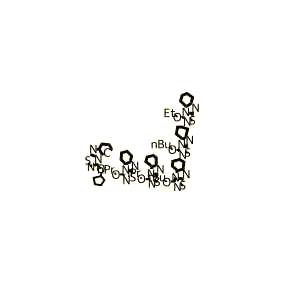 CC(C)(C)Oc1nsc2nc3ccccc3n12.CC(C)Oc1nsc2nc3ccccc3n12.CCCCOc1nsc2nc3ccccc3n12.CCCOc1nsc2nc3ccccc3n12.CCOc1nsc2nc3ccccc3n12.c1ccc2c(c1)nc1snc(OC3CCCC3)n12